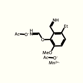 CC(=O)[O-].CC(=O)[O-].CCc1ccc(OC)c(OC=N)c1C=N.[Mn+2]